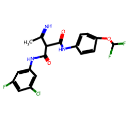 CC(=N)C(C(=O)Nc1ccc(OC(F)F)cc1)C(=O)Nc1cc(F)cc(Cl)c1